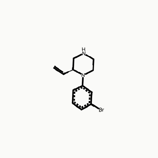 C=C[C@H]1CNCCN1c1cccc(Br)c1